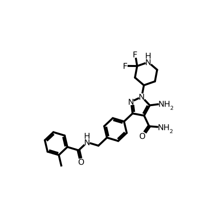 Cc1ccccc1C(=O)NCc1ccc(-c2nn(C3CCNC(F)(F)C3)c(N)c2C(N)=O)cc1